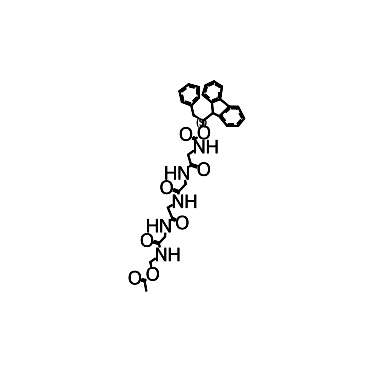 CC(=O)OCNC(=O)CNC(=O)CNC(=O)CNC(=O)CNC(=O)O[C@@H](Cc1ccccc1)C1c2ccccc2-c2ccccc21